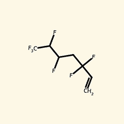 C=CC(F)(F)CC(F)C(F)C(F)(F)F